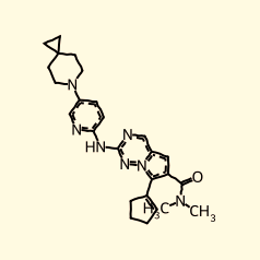 CN(C)C(=O)c1cc2cnc(Nc3ccc(N4CCC5(CC4)CC5)cn3)nn2c1C1=CCCC1